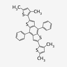 Cc1cc(C)c(-c2cc3c(-c4ccccc4)c4sc(-c5sc(C)cc5C)cc4c(-c4ccccc4)c3s2)s1